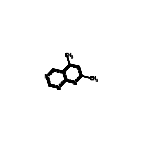 Cc1cc(C)c2cncnc2n1